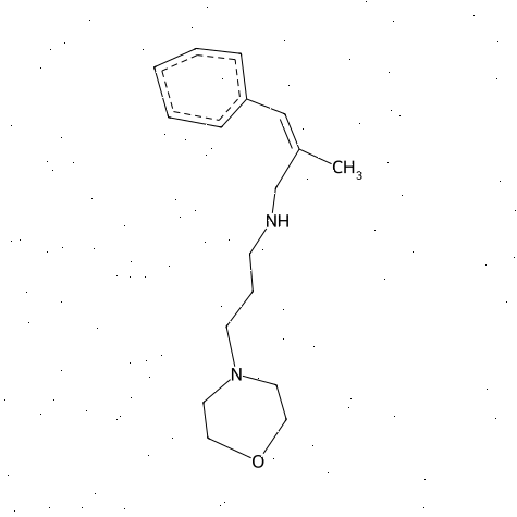 CC(=Cc1ccccc1)CNCCCN1CCOCC1